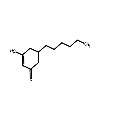 CCCCCCC1CC(=O)C=C(O)C1